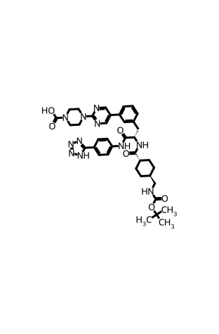 CC(C)(C)OC(=O)NC[C@H]1CC[C@H](C(=O)N[C@@H](Cc2cccc(-c3cnc(N4CCN(C(=O)O)CC4)nc3)c2)C(=O)Nc2ccc(-c3nnn[nH]3)cc2)CC1